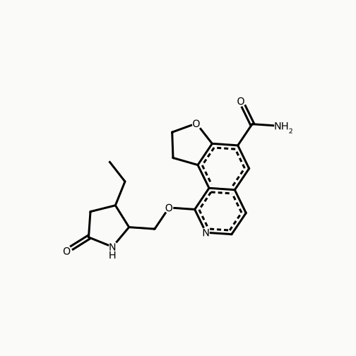 CCC1CC(=O)NC1COc1nccc2cc(C(N)=O)c3c(c12)CCO3